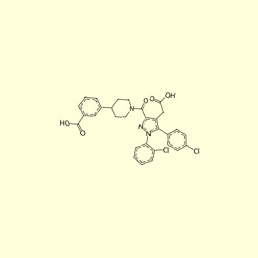 O=C(O)Cc1c(C(=O)N2CCC(c3cccc(C(=O)O)c3)CC2)nn(-c2ccccc2Cl)c1-c1ccc(Cl)cc1